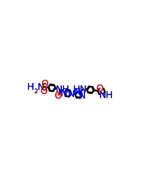 NS(=O)(=O)c1ccc(NC(=O)N2CCN(c3ccnc(Nc4ccc(C5CNCCO5)cc4)n3)CC2)cc1